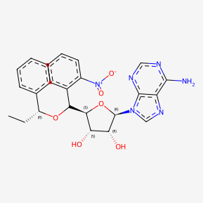 CC[C@@H](OC(c1ccccc1[N+](=O)[O-])[C@H]1O[C@@H](n2cnc3c(N)ncnc32)[C@H](O)[C@@H]1O)c1ccccc1